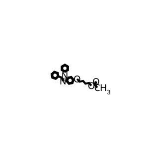 CC(=O)OCCCCOc1ccc2nc(-c3ccccc3)n(-c3ccccc3)c2c1